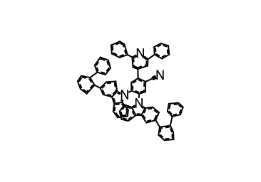 N#Cc1cc(-n2c3ccccc3c3cc(-c4ccccc4-c4ccccc4)ccc32)c(-n2c3ccccc3c3cc(-c4ccccc4-c4ccccc4)ccc32)cc1-c1cc(-c2ccccc2)nc(-c2ccccc2)c1